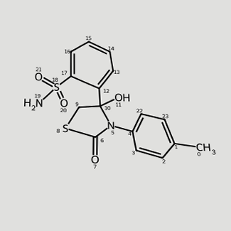 Cc1ccc(N2C(=O)SCC2(O)c2ccccc2S(N)(=O)=O)cc1